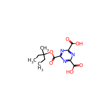 CCC(C)(CC)OC(=O)c1nc(C(=O)O)nc(C(=O)O)n1